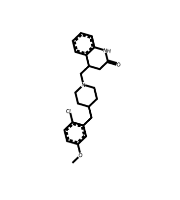 COc1ccc(Cl)c(CC2CCN(CC3CC(=O)Nc4ccccc43)CC2)c1